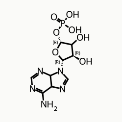 NC1=NC=NC2C1N=CN2[C@@H]1O[C@H](OP(=O)(O)O)C(O)[C@H]1O